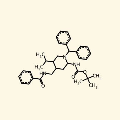 CC(C)C1CN(C(c2ccccc2)c2ccccc2)C(NC(=O)OC(C)(C)C)CC1CNC(=O)c1ccccc1